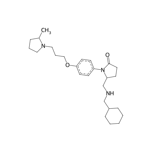 CC1CCCN1CCCOc1ccc(N2C(=O)CCC2CNCC2CCCCC2)cc1